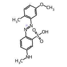 CNc1ccc(/N=N/c2cc(OC)[c]cc2C)c(S(=O)(=O)O)c1